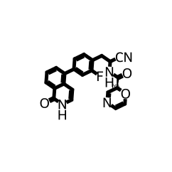 N#CC(Cc1ccc(-c2cccc3c(=O)[nH]ccc23)cc1F)NC(=O)[C@@H]1C=NC=CO1